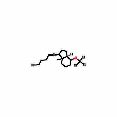 CC[Si](CC)(CC)O[C@H]1CCCC2(C)C(=C=CCCCC(C)C)CC[C@@H]12